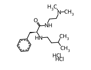 CC(C)CCN[C@@H](Cc1ccccc1)C(=O)NCCN(C)C.Cl.Cl